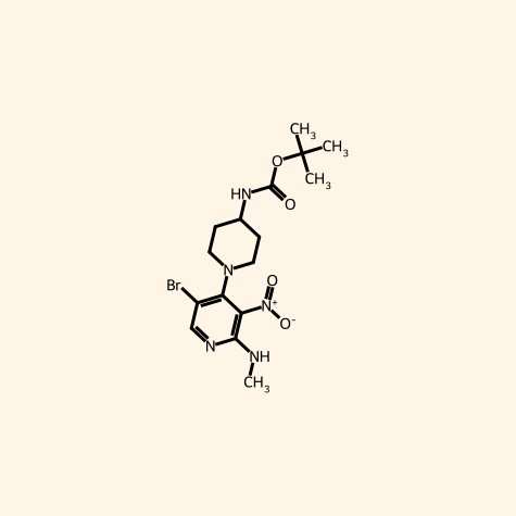 CNc1ncc(Br)c(N2CCC(NC(=O)OC(C)(C)C)CC2)c1[N+](=O)[O-]